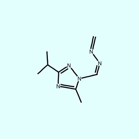 C=N/N=C\n1nc(C(C)C)nc1C